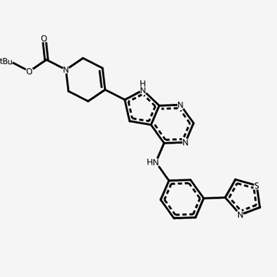 CC(C)(C)OC(=O)N1CC=C(c2cc3c(Nc4cccc(-c5cscn5)c4)ncnc3[nH]2)CC1